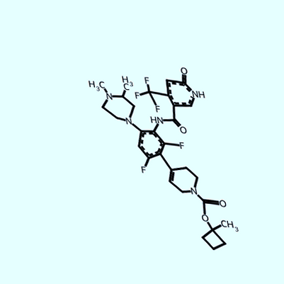 CC1CN(c2cc(F)c(C3=CCN(C(=O)OC4(C)CCC4)CC3)c(F)c2NC(=O)c2c[nH]c(=O)cc2C(F)(F)F)CCN1C